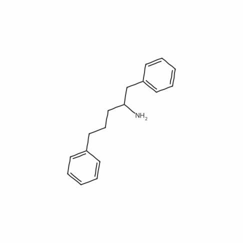 NC(CCCc1ccccc1)Cc1ccccc1